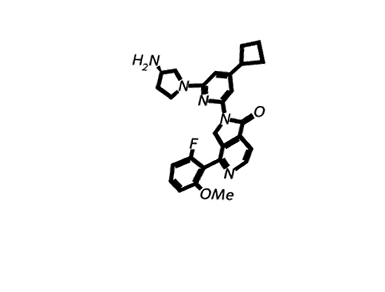 COc1cccc(F)c1-c1nccc2c1CN(c1cc(C3CCC3)cc(N3CC[C@@H](N)C3)n1)C2=O